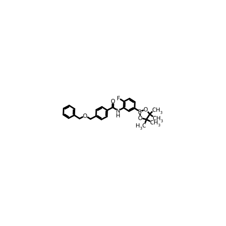 CC1(C)OB(c2ccc(F)c(NC(=O)c3ccc(COCc4ccccc4)cc3)c2)OC1(C)C